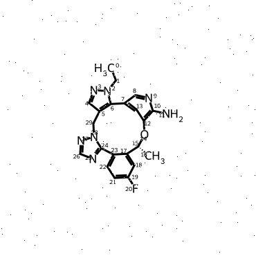 CCn1ncc2c1-c1cnc(N)c(c1)O[C@H](C)c1cc(F)ccc1-c1ncnn1C2